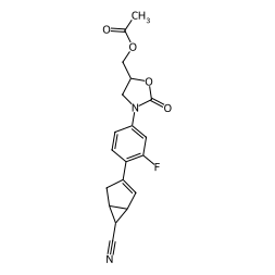 CC(=O)OCC1CN(c2ccc(C3=CC4C(C#N)C4C3)c(F)c2)C(=O)O1